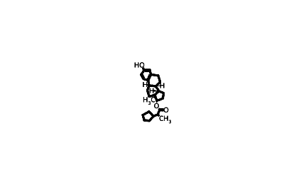 CC(C(=O)O[C@H]1CC[C@H]2[C@@H]3CCc4cc(O)ccc4[C@H]3CC[C@]12C)C1CCCC1